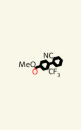 COC(=O)c1ccc(-c2ccccc2C#N)c(C(F)(F)F)c1